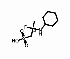 C[C@](F)(CS(=O)(=O)O)NC1CCCCC1